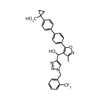 Cc1noc(-c2ccc(-c3ccc(C4(C(=O)O)CC4)cc3)cc2)c1C(O)c1cn(Cc2ccccc2C(F)(F)F)nn1